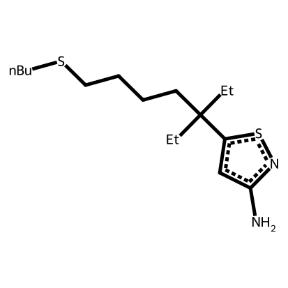 CCCCSCCCCC(CC)(CC)c1cc(N)ns1